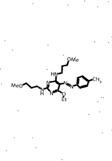 CCOc1nc(NCCCOC)nc(NCCCOC)c1N=Nc1ccc(C)cc1